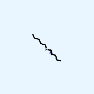 CCC/C=C/[P]CCCCC